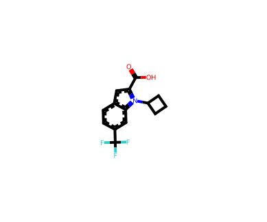 O=C(O)c1cc2ccc(C(F)(F)F)cc2n1C1CCC1